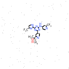 CC(C)(O)c1cc(-c2nc(Nc3ccnc(C(F)(F)F)c3)nc(-c3nccc(C(F)(F)F)n3)n2)ccn1